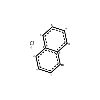 [C].c1ccc2ccccc2c1